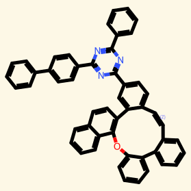 C1=C\c2ccc(-c3nc(-c4ccccc4)nc(-c4ccc(-c5ccccc5)cc4)n3)cc2-c2ccc3ccccc3c2Oc2ccccc2-c2ccccc2/1